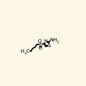 CCCCCS(=O)(=O)c1csc(N)n1